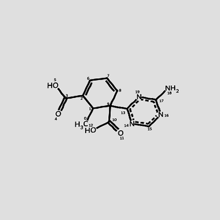 CC1C(C(=O)O)=CC=CC1(C(=O)O)c1ncnc(N)n1